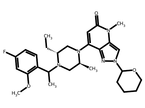 CC[C@@H]1CN(c2cc(=O)n(C)c3cn(C4CCCCO4)nc23)[C@@H](C)CN1C(C)c1ccc(F)cc1OC